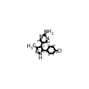 Cc1n[nH]c(-c2ccc(Cl)cc2)c1-c1cnc(N)nc1